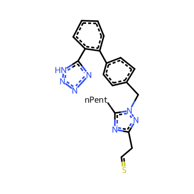 CCCCCc1nc(CC=S)nn1Cc1ccc(-c2ccccc2-c2nnn[nH]2)cc1